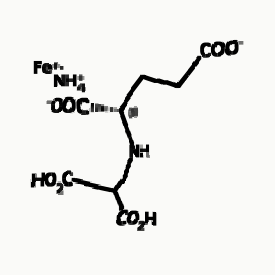 O=C([O-])CC[C@H](NC(C(=O)O)C(=O)O)C(=O)[O-].[Fe+].[NH4+]